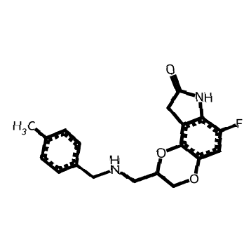 Cc1ccc(CNCC2COc3cc(F)c4c(c3O2)CC(=O)N4)cc1